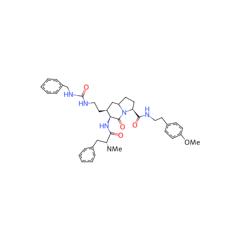 CN[C@H](Cc1ccccc1)C(=O)N[C@@H]1C(=O)N2C(CC[C@H]2C(=O)NCCc2ccc(OC)cc2)C[C@@H]1CCNC(=O)NCc1ccccc1